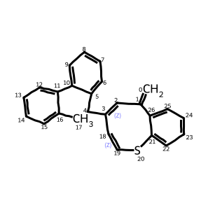 C=C1/C=C(Cc2ccccc2-c2ccccc2C)\C=C/Sc2ccccc21